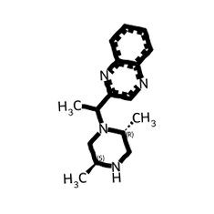 CC(c1cnc2ccccc2n1)N1C[C@H](C)NC[C@H]1C